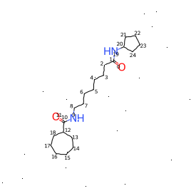 O=C(CCCCCCCNC(=O)C1CCCCCC1)NC1CCCC1